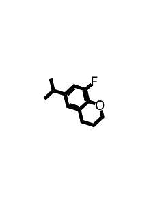 CC(C)c1cc(F)c2c(c1)CCCO2